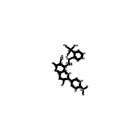 Cc1nc2cc(F)c(-c3cnc(P(C)C)nc3)nc2c(NCc2ccccc2C(F)(F)F)c1Cl